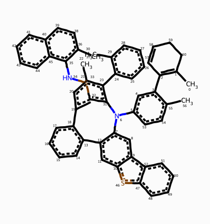 CC1=C(c2cc(N3c4cc5c(cc4-c4ccccc4-c4cc(C)c(-c6ccccc6C)c3c4SNc3c(C)ccc4ccccc34)sc3ccccc35)ccc2C)C=CCC1